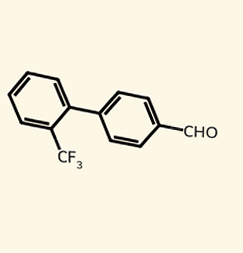 O=Cc1ccc(-c2ccccc2C(F)(F)F)cc1